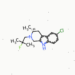 C[C@@H]1Cc2c([nH]c3ccc(Cl)cc23)CN1CC(C)(C)F